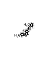 Cc1cccc(Cl)c1N1CC(c2cc(F)c3c(c2)CCC3N2CCC(C)CC2)C1